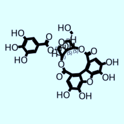 O=C(O[C@@H]1O[C@H](CO)[C@H]2OC(=O)c3cc(O)c(O)c4oc5c(O)c(O)cc(c5c34)C(=O)O[C@@H]1[C@H]2O)c1cc(O)c(O)c(O)c1